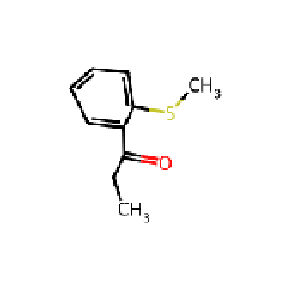 CCC(=O)c1ccccc1SC